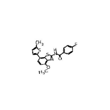 COc1ccc(-c2ccc(C)s2)c2sc(NC(=O)c3ccc(F)cc3)nc12